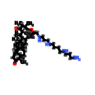 C=C(C(=O)[C@H](OC(C)=O)[C@@H](C)[C@H]1[C@@H](OC(C)=O)C[C@@]2(C)[C@@H]3CC[C@H]4[C@H](C)C(=O)C=C[C@@]45C[C@@]35CC[C@]12C)[C@@H](C)COC(=O)CNCCCNCCCCNCCCN